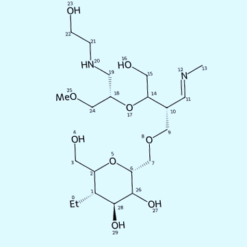 CC[C@@H]1C(CO)O[C@H](COC[C@@H](C=NC)C(CO)O[C@@H](CNCCO)COC)C(O)[C@H]1O